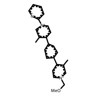 COC[n+]1ccc(-c2ccc(-c3cc[n+](-c4ccccn4)cc3C)cc2)c(C)c1